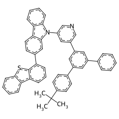 CC(C)(C)c1ccc(-c2cc(-c3ccccc3)cc(-c3cncc(-n4c5ccccc5c5ccc(-c6cccc7c6sc6ccccc67)cc54)c3)c2)cc1